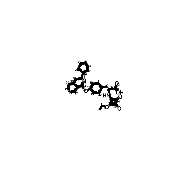 CCOc1c(N[C@@H](Cc2ccc(Oc3nc(-c4ccccc4)cc4ccncc34)cc2)C(=O)O)c(=O)c1=O